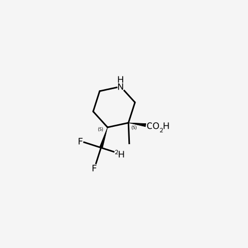 [2H]C(F)(F)[C@H]1CCNC[C@@]1(C)C(=O)O